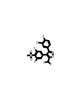 CS(=O)(=O)c1c(F)cc(-c2c(-c3ccc(F)c(Cl)c3)noc2C(F)F)cc1F